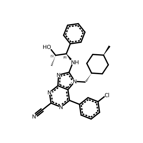 C[C@H](O)[C@H](Nc1nc2nc(C#N)nc(-c3cccc(Cl)c3)c2n1C[C@H]1CC[C@H](C)CC1)c1ccccc1